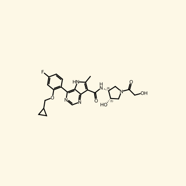 Cc1[nH]c2c(-c3ccc(F)cc3OCC3CC3)ncnc2c1C(=O)N[C@@H]1CN(C(=O)CO)C[C@@H]1O